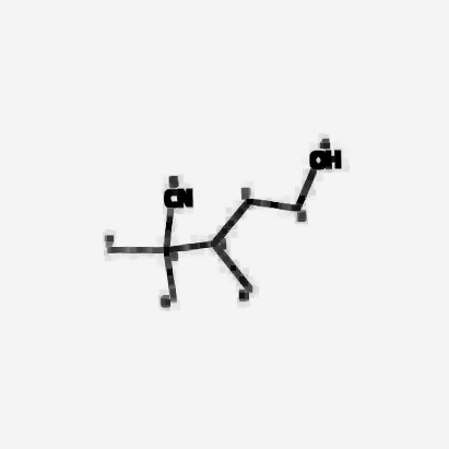 CC(CCO)C(C)(C)C#N